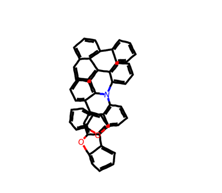 c1ccc(-c2cccc3cccc(-c4ccccc4N(c4ccccc4-c4ccc5c(c4)oc4ccccc45)c4cccc5oc6ccccc6c45)c23)cc1